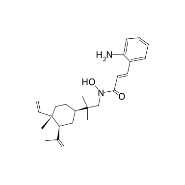 C=C[C@]1(C)CC[C@@H](C(C)(C)CN(O)C(=O)/C=C/c2ccccc2N)C[C@H]1C(=C)C